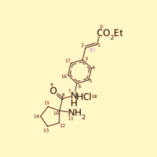 CCOC(=O)/C=C/c1ccc(NC(=O)C2(N)CCCC2)cc1.Cl